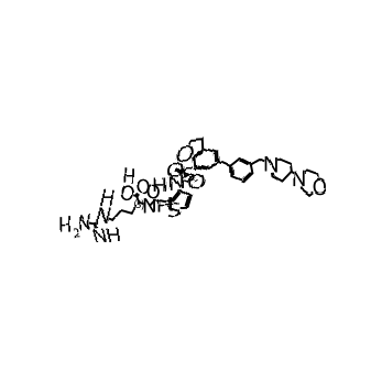 N=C(N)NCCC[C@H](NC(=O)c1sccc1NS(=O)(=O)c1cc(-c2cccc(CN3CCC(N4CCOCC4)CC3)c2)cc2c1OCC2)C(=O)O